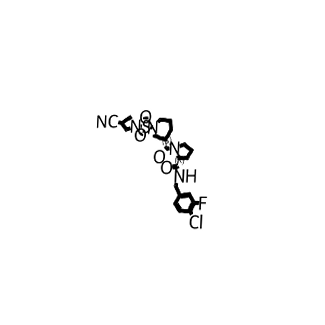 N#CC1CN(S(=O)(=O)N2CCC[C@H](C(=O)N3CCC[C@@H]3C(=O)NCc3ccc(Cl)c(F)c3)C2)C1